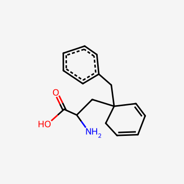 NC(CC1(Cc2ccccc2)C=CC=CC1)C(=O)O